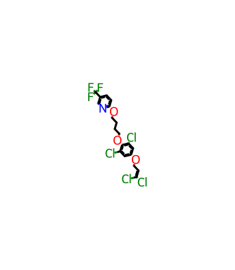 FC(F)(F)c1ccc(OCCCCOc2c(Cl)cc(OCC=C(Cl)Cl)cc2Cl)nc1